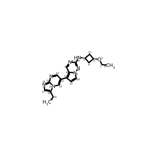 CCO[C@H]1C[C@@H](Nc2ncc3c(-c4cnc5ncc(CC)n5c4)ccn3n2)C1